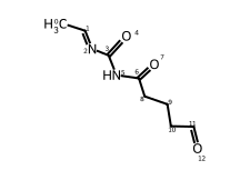 CC=NC(=O)NC(=O)CCCC=O